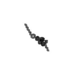 CCCCCCCCCC1CCC(c2ccc(C(=O)Oc3ccc(CCCCC)c(F)c3F)cc2)CC1